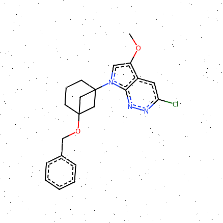 COc1cn(C23CCCC(OCc4ccccc4)(C2)C3)c2nnc(Cl)cc12